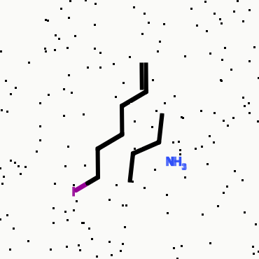 C=CCCCCI.CCCC.N